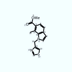 COC(=O)c1ccc2ccn(Cc3cscn3)c2c1C